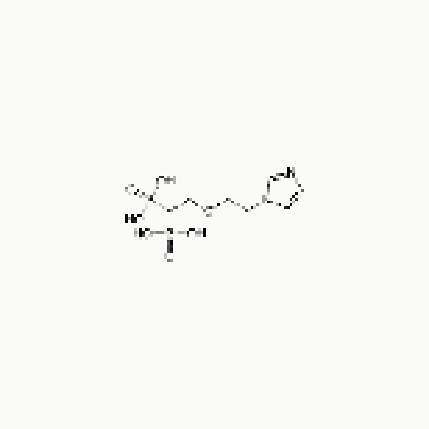 O=P(O)(O)C(COCCn1ccnc1)P(=O)(O)O